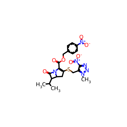 CC(C)C1C(=O)N2C(C(=O)OCc3ccc([N+](=O)[O-])cc3)=C(SCc3c([N+](=O)[O-])nnn3C)CC12